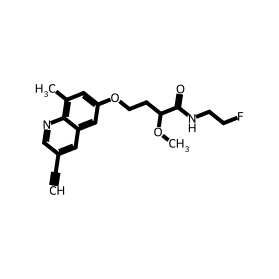 C#Cc1cnc2c(C)cc(OCCC(OC)C(=O)NCCF)cc2c1